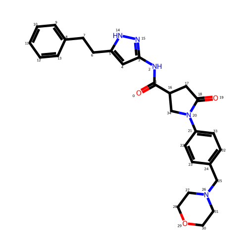 O=C(Nc1cc(CCc2ccccc2)[nH]n1)C1CC(=O)N(c2ccc(CN3CCOCC3)cc2)C1